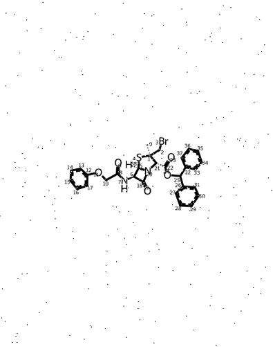 C[C@@]1(CBr)S[C@@H]2[C@H](NC(=O)COc3ccccc3)C(=O)N2[C@H]1C(=O)OC(c1ccccc1)c1ccccc1